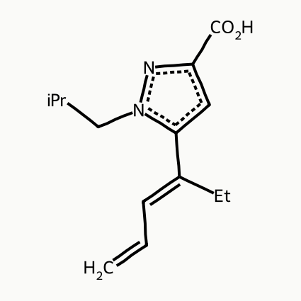 C=C/C=C(\CC)c1cc(C(=O)O)nn1CC(C)C